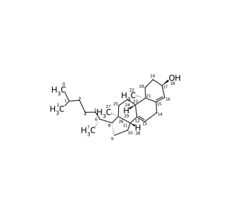 CC(C)CCC[C@@H](C)[C@H]1CC[C@H]2C3=CCC4=C[C@H](O)CC[C@]4(C)[C@H]3CC[C@]12C